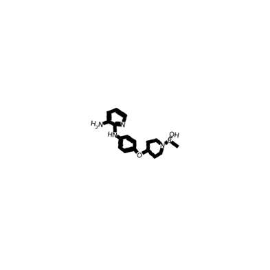 CB(O)N1CCC(Oc2ccc(Nc3ncccc3N)cc2)CC1